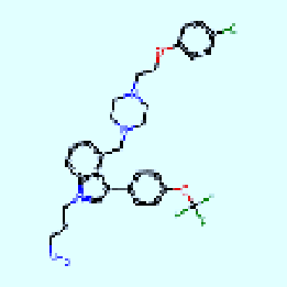 NCCCn1cc(-c2ccc(OC(F)(F)F)cc2)c2c(CN3CCN(CCOc4ccc(Cl)cc4)CC3)cccc21